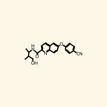 CC(CO)C(C)NC(=O)c1ccc2cc(Oc3ccc(C#N)cc3)ccc2n1